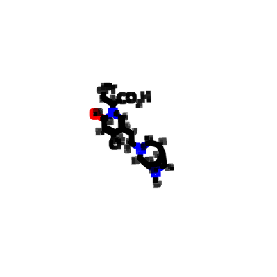 CC(C)CC(C(=O)O)n1cc(CCN2CCC3CC(C2)N(C)C3)c(C(F)(F)F)cc1=O